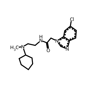 CN(CCNC(=O)Cn1cnc2ccc(Cl)cc21)C1CCCCC1